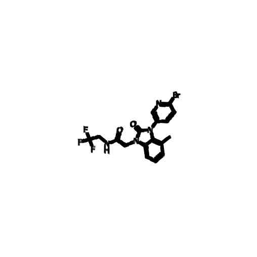 Cc1cccc2c1n(-c1ccc(Br)nc1)c(=O)n2CC(=O)NCC(F)(F)F